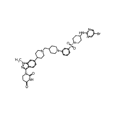 Cn1nc(N2CCC(=O)NC2=O)c2ccc(C3CCN(CC4CCN(c5cccc(S(=O)(=O)N6CCC(Nc7ncc(Br)cn7)CC6)c5)CC4)CC3)cc21